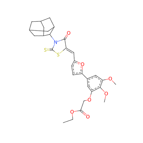 CCOC(=O)COc1cc(-c2ccc(C=C3SC(=S)N(C4C5CC6CC(C5)CC4C6)C3=O)o2)cc(OC)c1OC